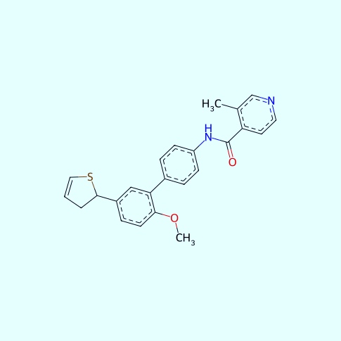 COc1ccc(C2CC=CS2)cc1-c1ccc(NC(=O)c2ccncc2C)cc1